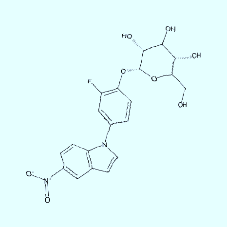 O=[N+]([O-])c1ccc2c(ccn2-c2ccc(O[C@H]3OC(CO)[C@@H](O)C(O)[C@H]3O)c(F)c2)c1